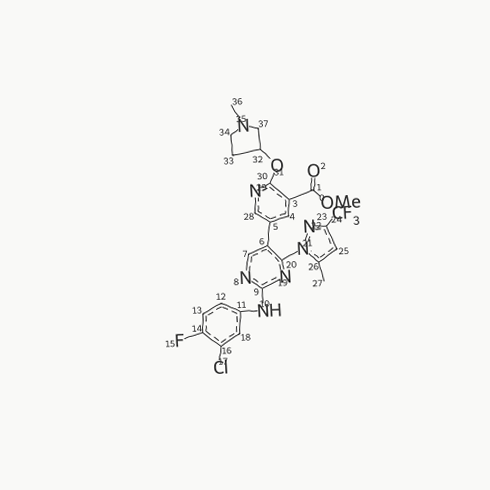 COC(=O)c1cc(-c2cnc(Nc3ccc(F)c(Cl)c3)nc2-n2nc(C(F)(F)F)cc2C)cnc1OC1CCN(C)C1